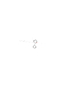 CCCCCCCCCCc1c(CCC)ccc(O)c1-c1ccccc1